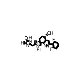 C#C[C@H]1CC[C@@](CN(CC)C(=O)Cc2n[nH]c(=O)[nH]2)(C(C)C)c2nnc(-c3c(F)cccc3F)cc21